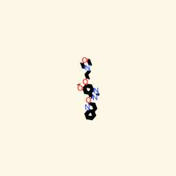 COc1cc2c(Oc3ccc4ccccc4n3)ncnc2cc1OCCCN1CCOCC1